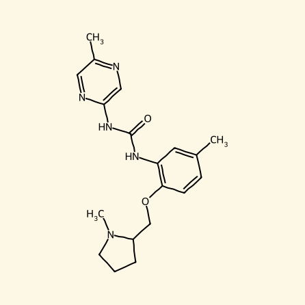 Cc1ccc(OCC2CCCN2C)c(NC(=O)Nc2cnc(C)cn2)c1